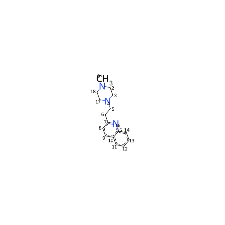 CN1CCN(CCc2ccc3ccccc3n2)CC1